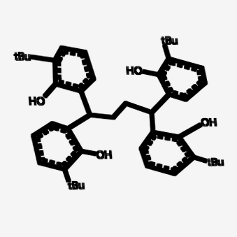 CC(C)(C)c1cccc(C(CCC(c2cccc(C(C)(C)C)c2O)c2cccc(C(C)(C)C)c2O)c2cccc(C(C)(C)C)c2O)c1O